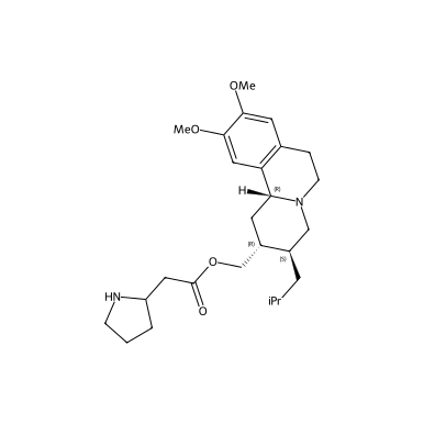 COc1cc2c(cc1OC)[C@H]1C[C@@H](COC(=O)CC3CCCN3)[C@H](CC(C)C)CN1CC2